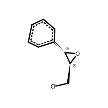 ClC[C@@H]1O[C@H]1c1ccccc1